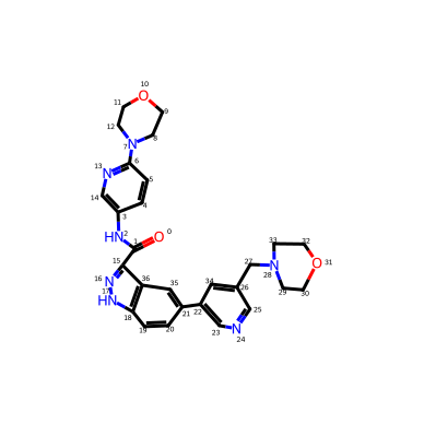 O=C(Nc1ccc(N2CCOCC2)nc1)c1n[nH]c2ccc(-c3cncc(CN4CCOCC4)c3)cc12